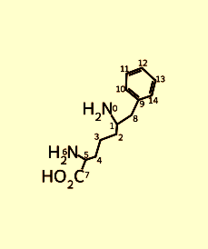 NC(CCCC(N)C(=O)O)Cc1ccccc1